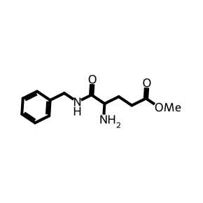 COC(=O)CCC(N)C(=O)NCc1ccccc1